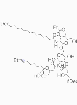 CC/C=C/CCCCCC(=O)OC(CCCCCCCCCCC)CC(=O)NC1C(O)OC(COC2OC(CO)C(C)C(OC(=O)CC)C2NC(=O)CCCCCCCCCCCCCCCCCCCCCCC)C(O)C1OC(=O)CC(O)CCCCCCCCCCC